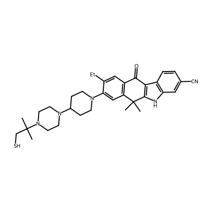 CCc1cc2c(cc1N1CCC(N3CCN(C(C)(C)CS)CC3)CC1)C(C)(C)c1[nH]c3cc(C#N)ccc3c1C2=O